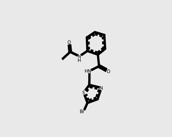 CC(=O)Nc1ccccc1C(=O)Nc1ncc(Br)s1